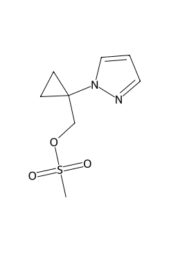 CS(=O)(=O)OCC1(n2cccn2)CC1